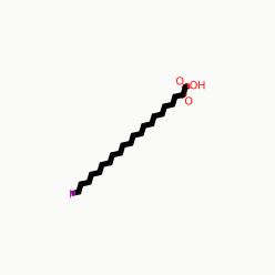 O=C(O)C(=O)CCCCCCCCCCCCCCCCCCCCI